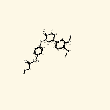 CCCC(=O)Nc1ccc(CN2N=C(c3ccc(OC)c(OC)c3)CSC2=O)cc1